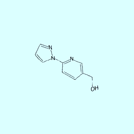 OCc1ccc(-n2cccn2)nc1